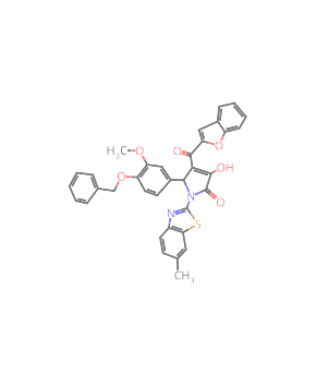 COc1cc(C2C(C(=O)c3cc4ccccc4o3)=C(O)C(=O)N2c2nc3ccc(C)cc3s2)ccc1OCc1ccccc1